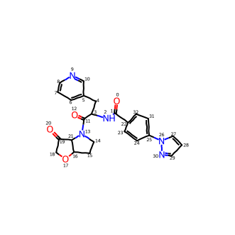 O=C(NC(Cc1cccnc1)C(=O)N1CCC2OCC(=O)C21)c1ccc(-n2cccn2)cc1